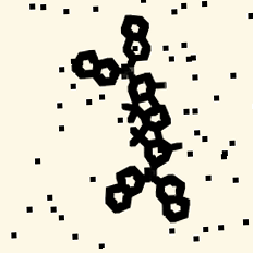 Cc1cc(N(c2ccc3ccccc3c2)c2ccc3ccccc3c2)cc2c1-c1ccc3c(c1C2(C)C)C(C)(C)c1cc(N(c2ccc4ccccc4c2)C2C=Cc4ccccc4C2)cc(C)c1-3